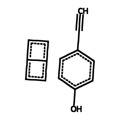 C#Cc1ccc(O)cc1.c1cc2ccc1-2